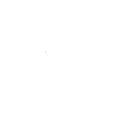 CCCCS(=O)(=O)Nc1ccc(-c2ccnc3[nH]ccc23)cc1